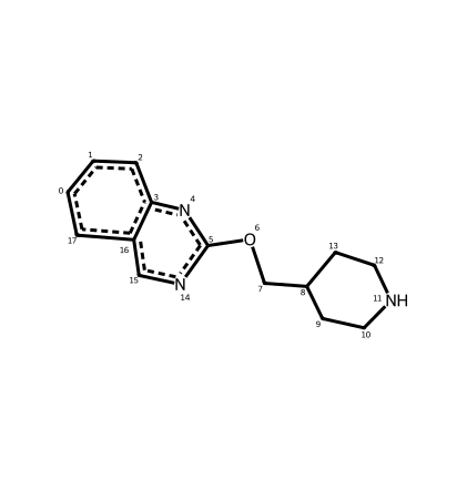 c1ccc2nc(OCC3CCNCC3)ncc2c1